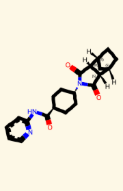 O=C1[C@@H]2[C@@H]3CC[C@@H](C3)[C@@H]2C(=O)N1[C@H]1CC[C@H](C(=O)Nc2ccccn2)CC1